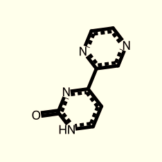 O=c1nc(-c2cnccn2)cc[nH]1